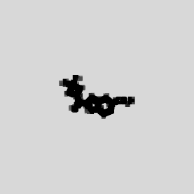 O=C(O)N1CCn2nc(C(=O)N3CC(F)(F)C3)cc2C1